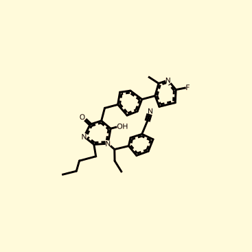 CCCCc1nc(=O)c(Cc2ccc(-c3ccc(F)nc3C)cc2)c(O)n1C(CC)c1cccc(C#N)c1